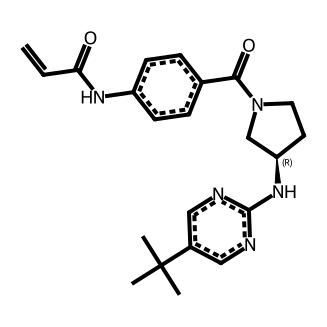 C=CC(=O)Nc1ccc(C(=O)N2CC[C@@H](Nc3ncc(C(C)(C)C)cn3)C2)cc1